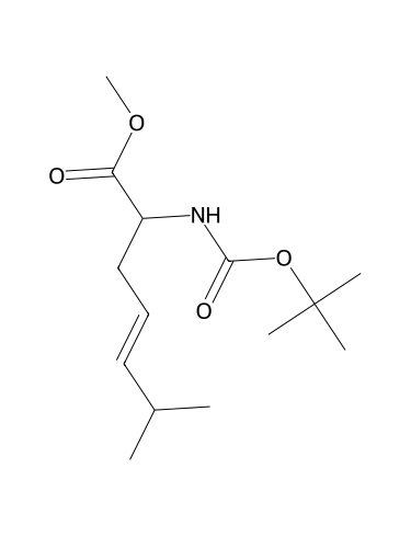 COC(=O)C(CC=CC(C)C)NC(=O)OC(C)(C)C